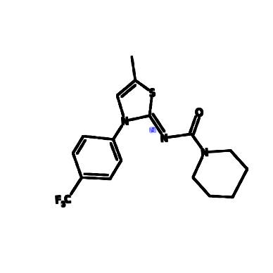 Cc1cn(-c2ccc(C(F)(F)F)cc2)/c(=N/C(=O)N2CCCCC2)s1